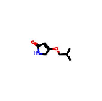 CC(C)COC1=CC(=O)NC1